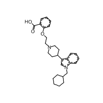 O=C(O)c1ccccc1OCCN1CCC(c2cn(CC3CCCCC3)c3ccccc23)CC1